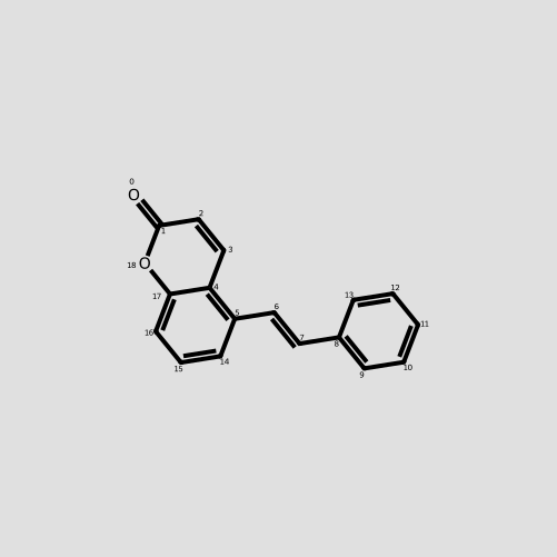 O=c1ccc2c(C=Cc3ccccc3)cccc2o1